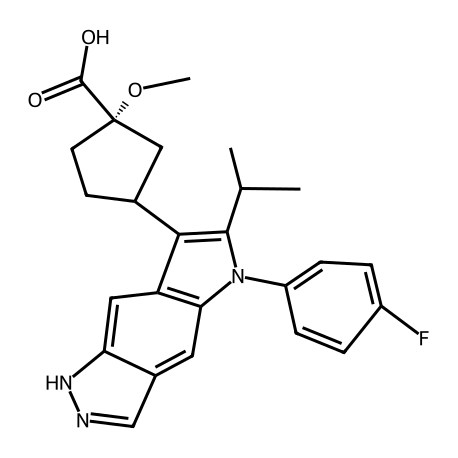 CO[C@@]1(C(=O)O)CCC(c2c(C(C)C)n(-c3ccc(F)cc3)c3cc4cn[nH]c4cc23)C1